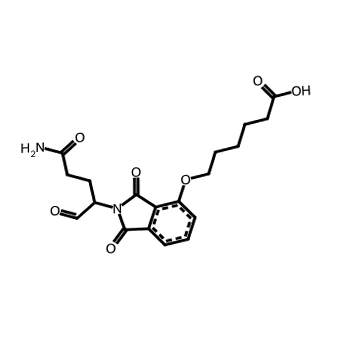 NC(=O)CCC(C=O)N1C(=O)c2cccc(OCCCCCC(=O)O)c2C1=O